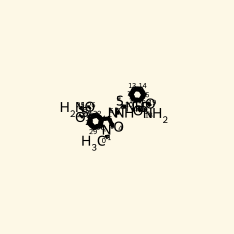 CCN1C(=O)C(=NNC(=S)Nc2ccccc2S(N)(=O)=O)c2cc(S(N)(=O)=O)ccc21